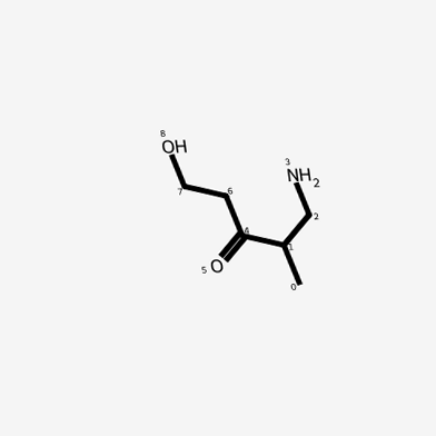 CC(CN)C(=O)CCO